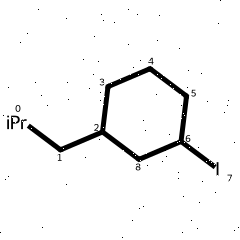 CC(C)CC1CCCC(I)C1